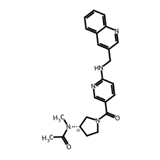 CC(=O)N(C)[C@H]1CCN(C(=O)c2ccc(NCc3cnc4ccccc4c3)nc2)C1